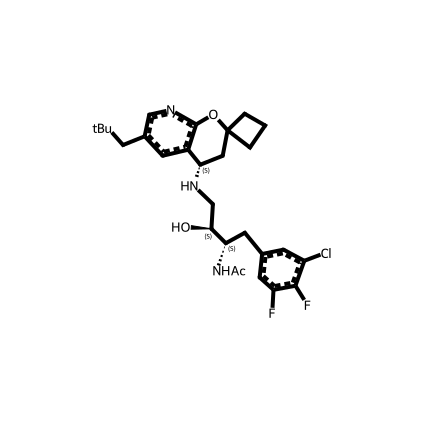 CC(=O)N[C@@H](Cc1cc(F)c(F)c(Cl)c1)[C@@H](O)CN[C@H]1CC2(CCC2)Oc2ncc(CC(C)(C)C)cc21